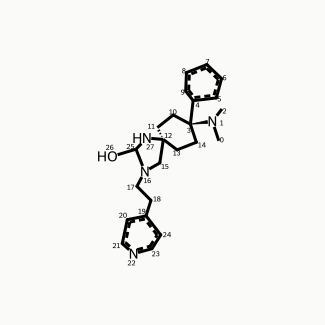 CN(C)[C@]1(c2ccccc2)CC[C@]2(CC1)CN(CCc1ccncc1)C(O)N2